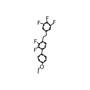 CCOc1ccc(-c2ccc(CCc3cc(F)c(F)c(F)c3)c(F)c2F)cc1